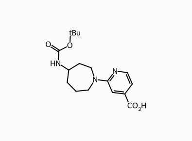 CC(C)(C)OC(=O)NC1CCCN(c2cc(C(=O)O)ccn2)CC1